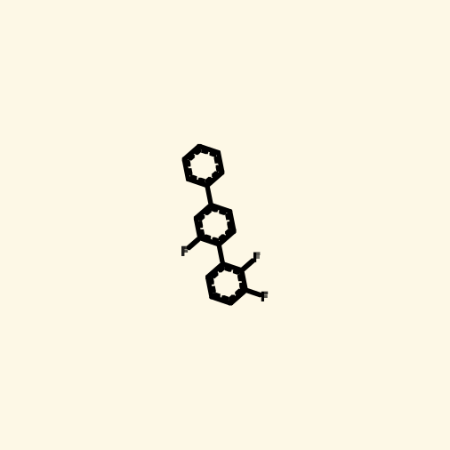 Fc1cc(-c2ccccc2)ccc1-c1cccc(F)c1F